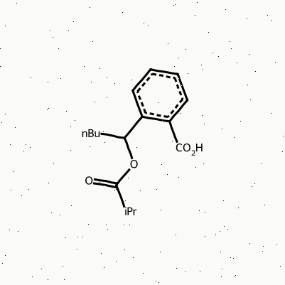 CCCCC(OC(=O)C(C)C)c1ccccc1C(=O)O